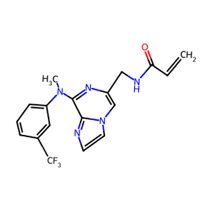 C=CC(=O)NCc1cn2ccnc2c(N(C)c2cccc(C(F)(F)F)c2)n1